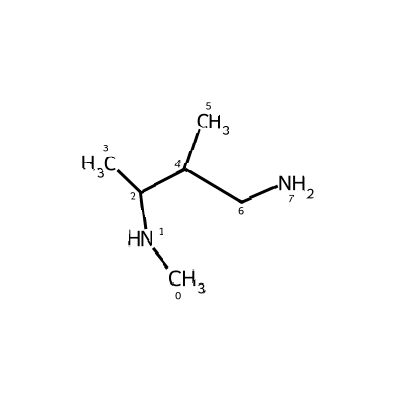 CNC(C)C(C)CN